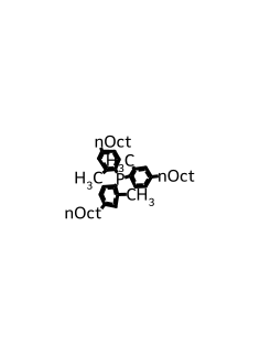 CCCCCCCCc1ccc(P(c2ccc(CCCCCCCC)cc2C)c2ccc(CCCCCCCC)cc2C)c(C)c1